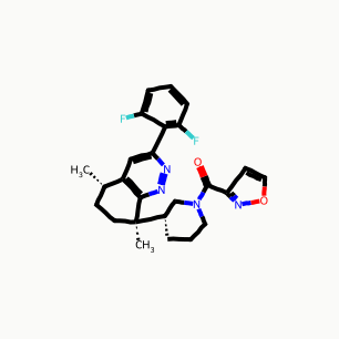 C[C@H]1CC[C@](C)([C@H]2CCCN(C(=O)c3ccon3)C2)c2nnc(-c3c(F)cccc3F)cc21